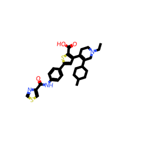 CCN1CCC(c2cc(-c3ccc(NC(=O)c4cscn4)cc3)sc2C(=O)O)=C(C2CCC(C)CC2)C1